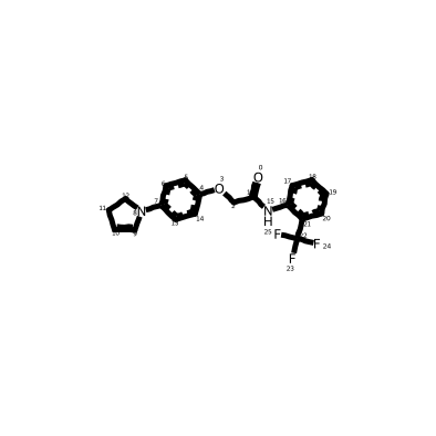 O=C(COc1ccc(N2C=CCC2)cc1)Nc1ccccc1C(F)(F)F